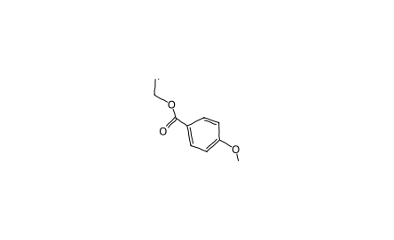 [CH2]COC(=O)c1ccc(OC)cc1